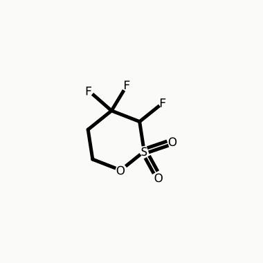 O=S1(=O)OCCC(F)(F)C1F